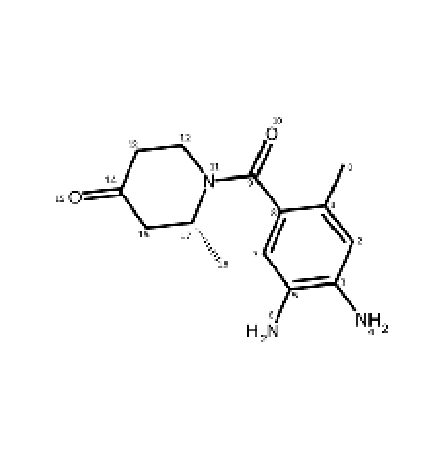 Cc1cc(N)c(N)cc1C(=O)N1CCC(=O)C[C@H]1C